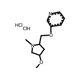 COC1CC(COc2cccnc2)N(C)C1.Cl.Cl